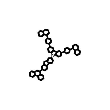 c1ccc2c(-c3ccc(-c4ccc5c(c4)c4cc(-c6ccc(-c7cccc8ccccc78)cc6)ccc4n5-c4ccc5c(c4)Cc4cc(-c6cc7ccccc7c7ccccc67)ccc4-5)cc3)cccc2c1